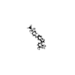 O=C1CCN(c2cnn3ccc(CN4CCN(S(=O)(=O)C5CC5)CC4)cc23)C(=O)N1